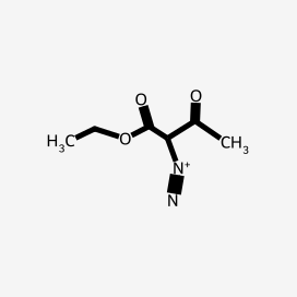 CCOC(=O)C([N+]#N)C(C)=O